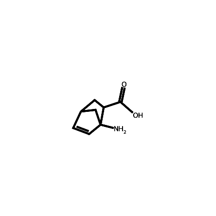 NC12C=CC(CC1C(=O)O)C2